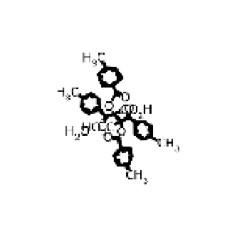 Cc1ccc(C(=O)OC(C(=O)O)(C(=O)c2ccc(C)cc2)C(OC(=O)c2ccc(C)cc2)(C(=O)O)C(=O)c2ccc(C)cc2)cc1.O